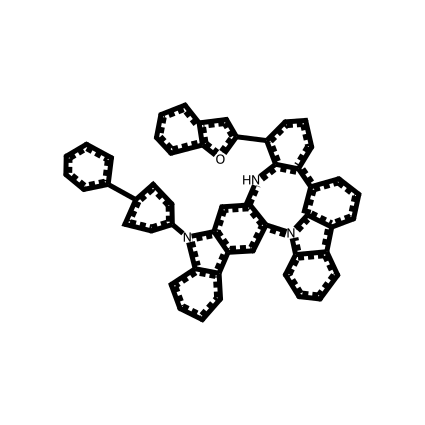 c1ccc(-c2ccc(-n3c4ccccc4c4cc5c(cc43)[nH]c3c(-c4cc6ccccc6o4)cccc3c3cccc4c6ccccc6n5c34)cc2)cc1